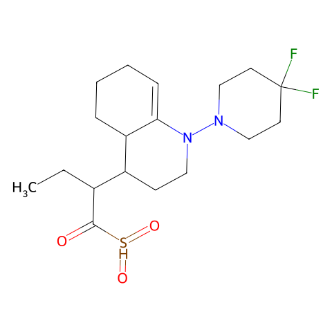 CCC(C(=O)[SH](=O)=O)C1CCN(N2CCC(F)(F)CC2)C2=CCCCC21